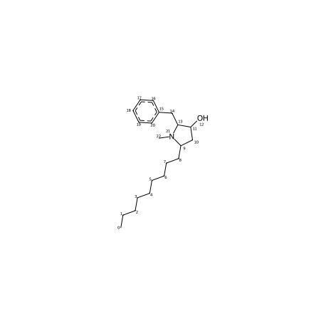 CCCCCCCCCC1CC(O)C(Cc2ccccc2)N1C